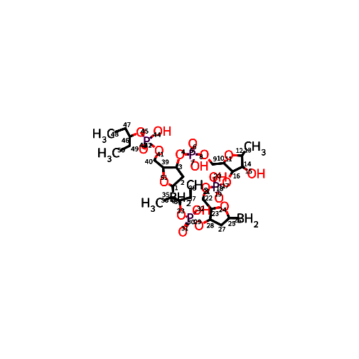 BC1CC(OP(=O)(O)OCC2OC(C)C(O)C2OP(=O)(O)OCC2OC(B)CC2OP(=O)(O)OC(CC)CC)C(COP(=O)(O)OC(CC)CC)O1